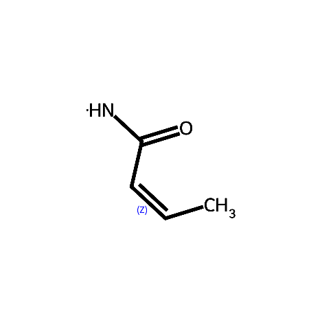 C/C=C\C([NH])=O